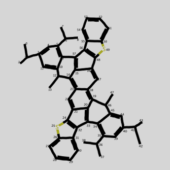 CC(C)c1cc(C(C)C)c2c(c1)C(C)c1c3c(cc4c5c6c(cc14)-c1sc4ccccc4c1C=6c1c(C(C)C)cc(C(C)C)cc1C5C)-c1sc4ccccc4c1C=32